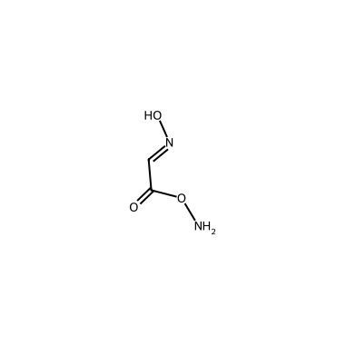 NOC(=O)C=NO